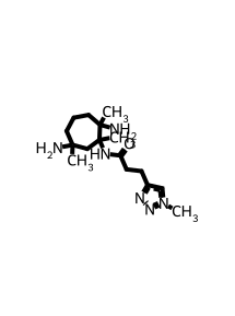 Cn1cc(CCC(=O)NC2(C)CC(C)(N)CCCC2(C)N)nn1